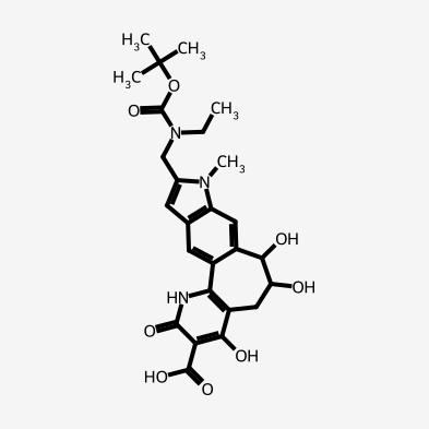 CCN(Cc1cc2cc3c(cc2n1C)C(O)C(O)Cc1c-3[nH]c(=O)c(C(=O)O)c1O)C(=O)OC(C)(C)C